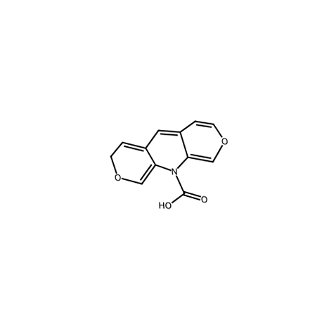 O=C(O)N1C2=COC=CC2=CC2=CCOC=C21